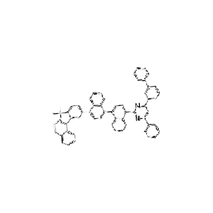 CC1(C)c2ccc(-c3ccc(-c4ccc(-c5nc(-c6ccccc6)cc(-c6cccc(-c7ccccc7)c6)n5)c5ccccc45)c4ccccc34)cc2-c2c1ccc1ccccc21